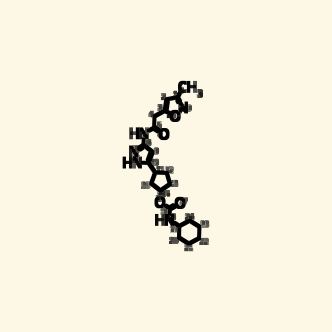 Cc1cc(CC(=O)Nc2cc(C3CC[C@H](OC(=O)NC4CCCCC4)C3)[nH]n2)on1